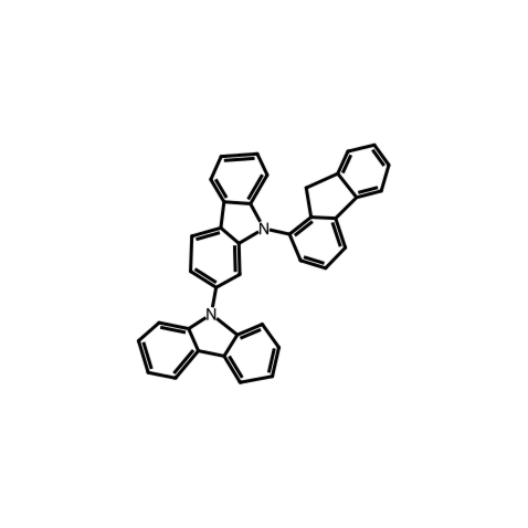 c1ccc2c(c1)Cc1c-2cccc1-n1c2ccccc2c2ccc(-n3c4ccccc4c4ccccc43)cc21